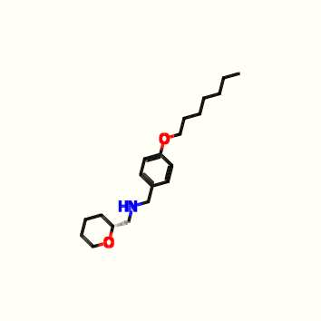 CCCCCCCOc1ccc(CNC[C@H]2CCCCO2)cc1